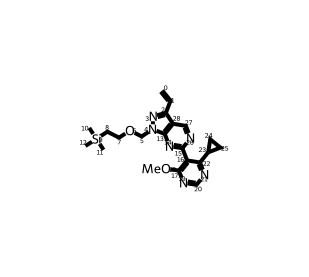 C=Cc1nn(COCC[Si](C)(C)C)c2nc(-c3c(OC)ncnc3C3CC3)ncc12